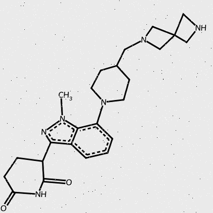 Cn1nc(C2CCC(=O)NC2=O)c2cccc(N3CCC(CN4CC5(CNC5)C4)CC3)c21